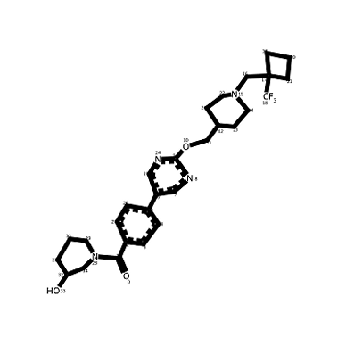 O=C(c1ccc(-c2cnc(OCC3CCN(CC4(C(F)(F)F)CCC4)CC3)nc2)cc1)N1CCCC(O)C1